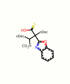 CCCCCCCCCCC(C(=O)O)C(CCCCCCCCCC)(C(O)=S)c1nc2ccccc2o1